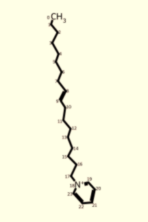 CCCCCCCC/C=C/CCCCCCCC[n+]1ccccc1